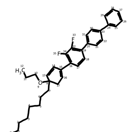 CCCCCCCCC1(OCCC)C=CC(c2ccc(-c3ccc(-c4ccccc4)cc3)c(F)c2F)=CC1